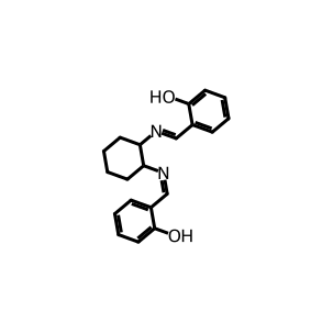 Oc1ccccc1C=NC1CCCCC1/N=C\c1ccccc1O